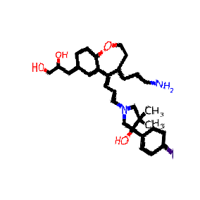 CC1(C)CN(CC/C=C2\C(CCCN)CCOC3CCC(CC(O)CO)CC23)CC1(O)C1CCC(I)CC1